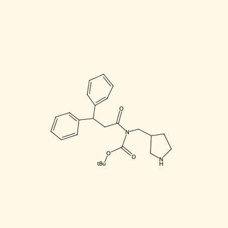 CC(C)(C)OC(=O)N(CC1CCNC1)C(=O)CC(c1ccccc1)c1ccccc1